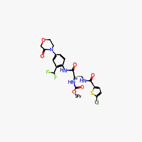 CC(C)OC(=O)N[C@@H](CNC(=O)c1ccc(Cl)s1)C(=O)Nc1ccc(N2CCOCC2=O)cc1C(F)F